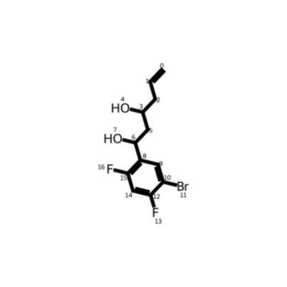 C=CCC(O)CC(O)c1cc(Br)c(F)cc1F